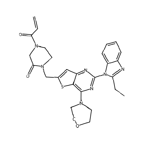 C=CC(=O)N1CCN(Cc2cc3nc(-n4c(CC)nc5ccccc54)nc(N4CCOCC4)c3s2)C(=O)C1